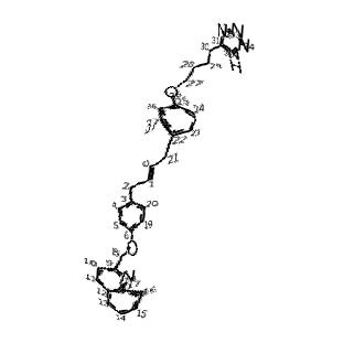 C(=C\Cc1ccc(OCc2ccc3ccccc3n2)cc1)/Cc1ccc(OCCCCc2nnn[nH]2)cc1